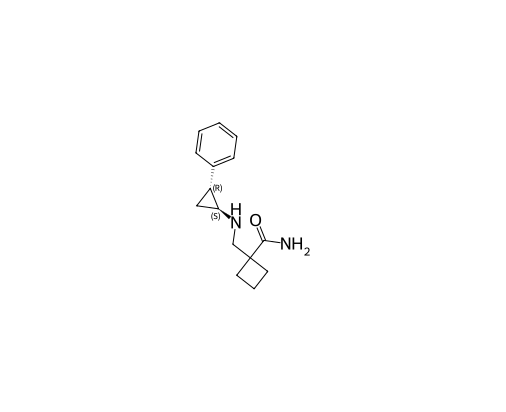 NC(=O)C1(CN[C@H]2C[C@@H]2c2ccccc2)CCC1